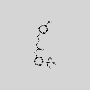 CC(C)(C)c1cccc(OC(=O)CCCc2ccc(O)cc2)c1